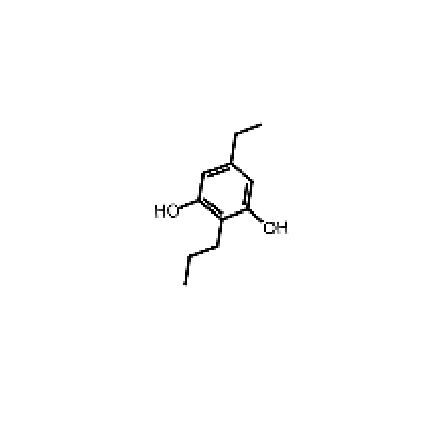 CCCc1c(O)cc(CC)cc1O